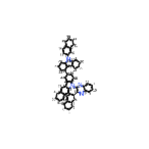 c1ccc2cc(-c3nc4ccccc4nc3-n3c4ccc(-c5cccc6c5c5ccccc5n6-c5ccc6ccccc6c5)cc4c4cc5ccccc5cc43)ccc2c1